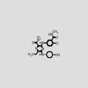 CCc1nc(C(N)=O)c(Nc2ccc(Cl)c(C(=O)NC)c2)nc1N[C@H]1CC[C@H](O)CC1